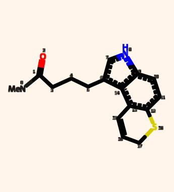 CNC(=O)CCCc1c[nH]c2ccc3c(c12)C=CCS3